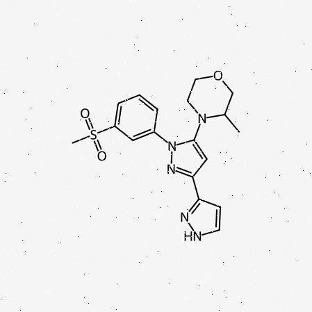 CC1COCCN1c1cc(-c2cc[nH]n2)nn1-c1cccc(S(C)(=O)=O)c1